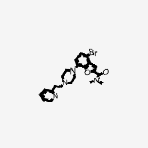 CN(C)C(=O)c1cc2c(Br)ccc(N3CCN(CCc4ccccn4)CC3)c2o1